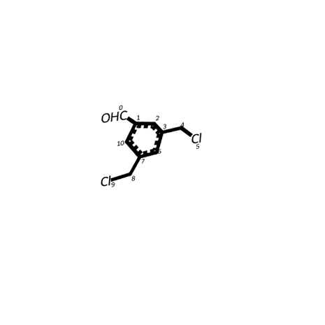 O=Cc1cc(CCl)cc(CCl)c1